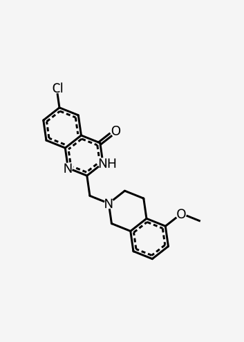 COc1cccc2c1CCN(Cc1nc3ccc(Cl)cc3c(=O)[nH]1)C2